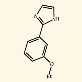 CCOc1cccc(-c2ncc[nH]2)c1